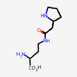 NC(CCNC(=O)CC1CCCN1)C(=O)O